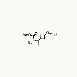 CCCCOC1CC(N[C@H](CC)C(=O)OC)C1